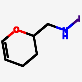 INCC1CCC=CO1